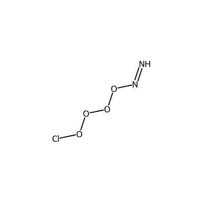 N=NOOOOCl